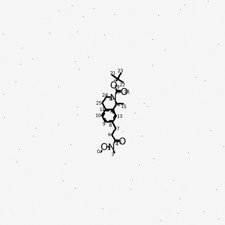 CON(C)C(=O)CCc1ccc2c(c1)C(C)N(C(=O)OC(C)(C)C)CC2